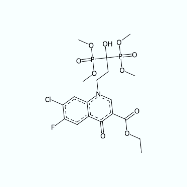 CCOC(=O)c1cn(CCC(O)(P(=O)(OC)OC)P(=O)(OC)OC)c2cc(Cl)c(F)cc2c1=O